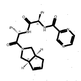 CC(C)[C@H](NC(=O)[C@H](NC(=O)c1cnccn1)C(C)C)C(=O)N1C[C@H]2CC=C[C@H]2C1